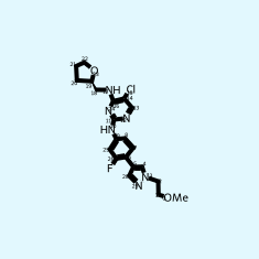 COCCn1cc(-c2ccc(Nc3ncc(Cl)c(NC[C@H]4CCCO4)n3)cc2F)cn1